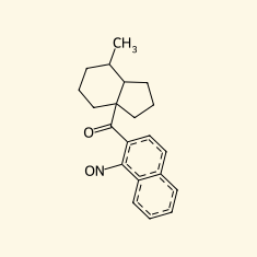 CC1CCCC2(C(=O)c3ccc4ccccc4c3N=O)CCCC12